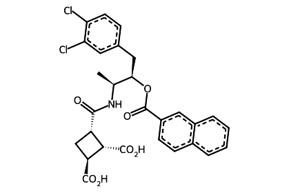 C[C@H](NC(=O)[C@H]1C[C@H](C(=O)O)[C@H]1C(=O)O)[C@@H](Cc1ccc(Cl)c(Cl)c1)OC(=O)c1ccc2ccccc2c1